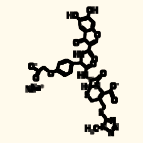 Cn1nnnc1SCC1=C(C(=O)[O-])N2C(=O)[C@@H](NC(=O)C(NC(=O)c3coc4cc(O)c(O)cc4c3=O)c3ccc(OCC(=O)[O-])cc3)[C@@H]2SC1.[Na+].[Na+]